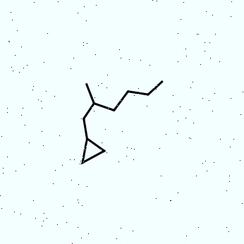 CCCCC(C)[CH]C1CC1